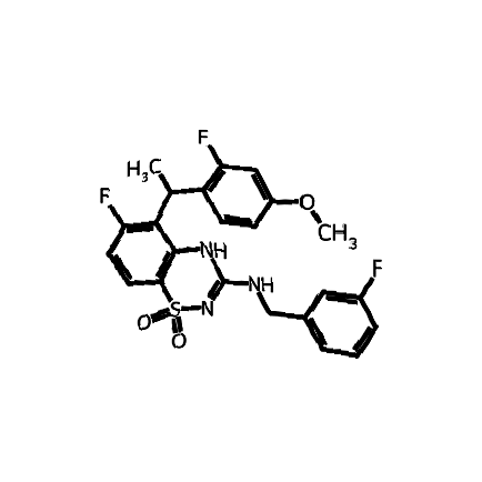 COc1ccc(C(C)c2c(F)ccc3c2NC(NCc2cccc(F)c2)=NS3(=O)=O)c(F)c1